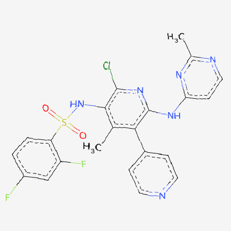 Cc1nccc(Nc2nc(Cl)c(NS(=O)(=O)c3ccc(F)cc3F)c(C)c2-c2ccncc2)n1